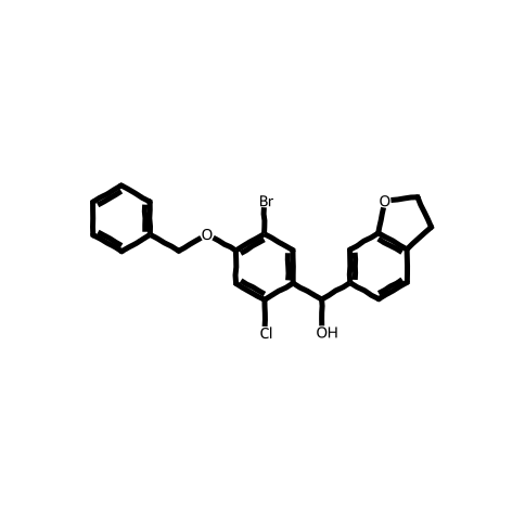 OC(c1ccc2c(c1)OCC2)c1cc(Br)c(OCc2ccccc2)cc1Cl